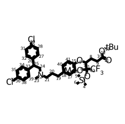 COC(O[Si](C)(C)C)(C(CCC(=O)OC(C)(C)C)Oc1ccc(CCCN(C)CC(c2ccc(Cl)cc2)c2ccc(Cl)cc2)cc1)C(F)(F)F